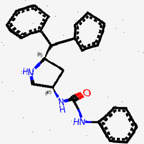 O=C(Nc1ccccc1)N[C@H]1CN[C@@H](C(c2ccccc2)c2ccccc2)C1